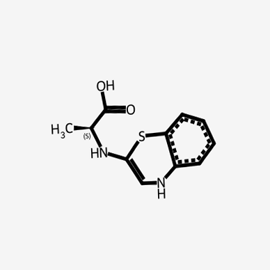 C[C@H](NC1=CNc2ccccc2S1)C(=O)O